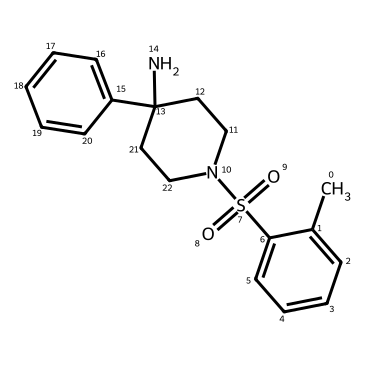 Cc1ccccc1S(=O)(=O)N1CCC(N)(c2ccccc2)CC1